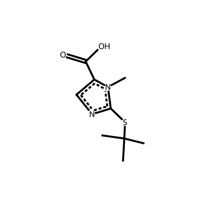 Cn1c(C(=O)O)cnc1SC(C)(C)C